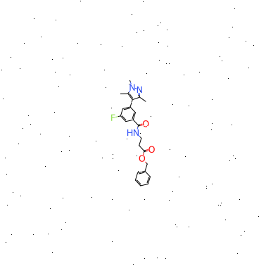 Cc1nn(C)c(C)c1-c1cc(F)cc(C(=O)NCCC(=O)OCc2ccccc2)c1